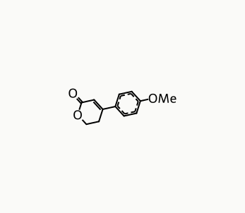 COc1ccc(C2=CC(=O)OCC2)cc1